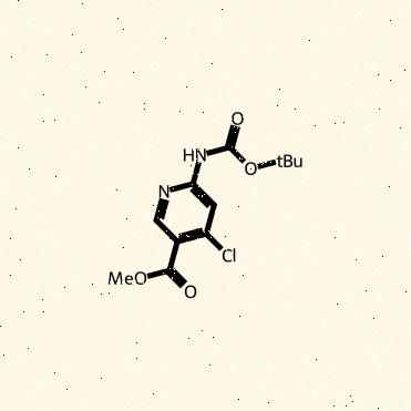 COC(=O)c1cnc(NC(=O)OC(C)(C)C)cc1Cl